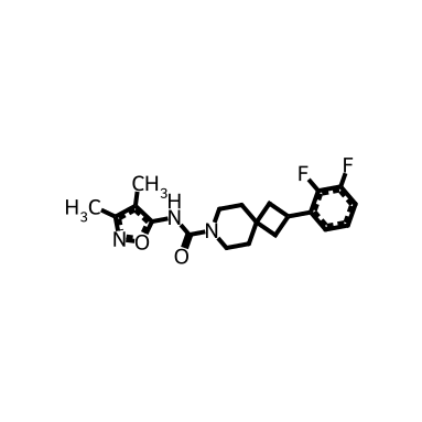 Cc1noc(NC(=O)N2CCC3(CC2)CC(c2cccc(F)c2F)C3)c1C